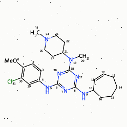 COc1ccc(Nc2nc(NC3C=CCCCC3)nc(N(C)C3CCN(C)CC3)n2)cc1Cl